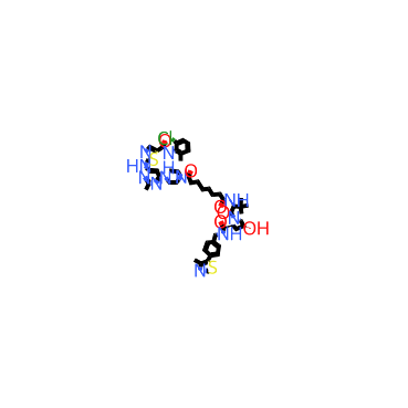 Cc1nc(Nc2ncc(C(=O)Nc3c(C)cccc3Cl)s2)cc(N2CCN(C(=O)CCCCCCC(=O)N[C@H](C(=O)N3C[C@H](O)C[C@H]3C(=O)NCc3ccc(-c4scnc4C)cc3)C(C)(C)C)CC2)n1